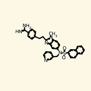 Cn1c(CCc2ccc(C(=N)N)cc2)nc2cc(N(Cc3cccnc3)S(=O)(=O)c3ccc4ccccc4c3)ccc21